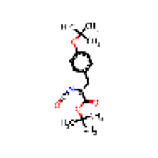 CC(C)(C)OC(=O)[C@H](Cc1ccc(OC(C)(C)C)cc1)N=C=O